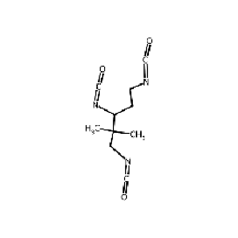 CC(C)(CN=C=O)C(CCN=C=O)N=C=O